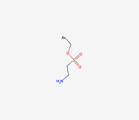 CC(=O)COS(=O)(=O)CCN